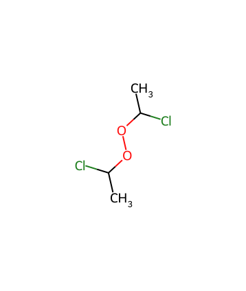 CC(Cl)OOC(C)Cl